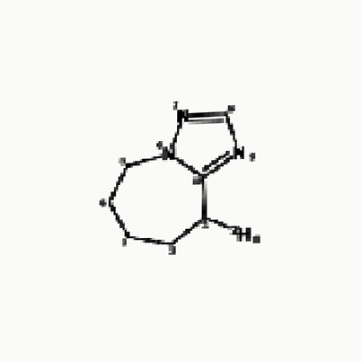 [2H]C1CCCCn2ncnc21